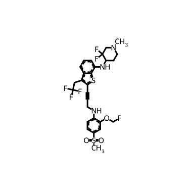 CN1CCC(Nc2cccc3c(CC(F)(F)F)c(C#CCNc4ccc(S(C)(=O)=O)cc4OCF)sc23)C(F)(F)C1